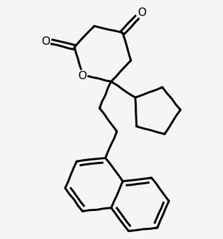 O=C1CC(=O)OC(CCc2cccc3ccccc23)(C2CCCC2)C1